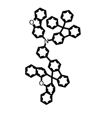 c1ccc(C2(c3ccccc3)c3ccccc3-c3ccc(N(c4cccc(-c5ccc6c(c5)C5(c7ccccc7-6)c6ccc7ccccc7c6Oc6c5ccc5ccccc65)c4)c4ccc5oc6ccccc6c5c4)cc32)cc1